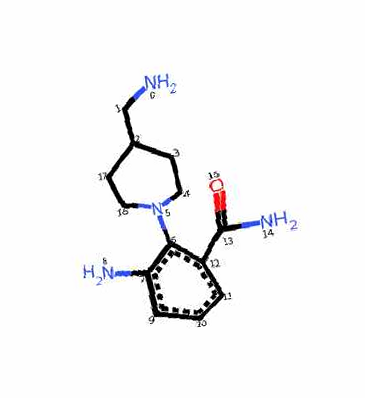 NCC1CCN(c2c(N)cccc2C(N)=O)CC1